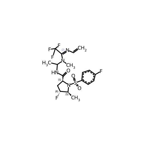 C=C/N=C(\N(C)C(C)NC(=O)[C@@H]1C[C@@H](F)[C@H](C)N1S(=O)(=O)c1ccc(F)cc1)C(F)(F)F